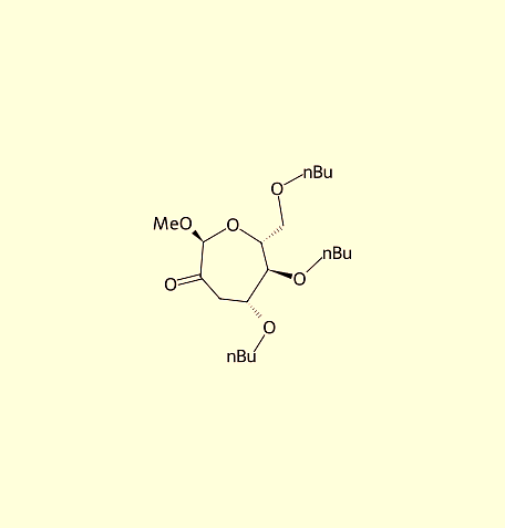 CCCCOC[C@H]1O[C@H](OC)C(=O)C[C@@H](OCCCC)[C@@H]1OCCCC